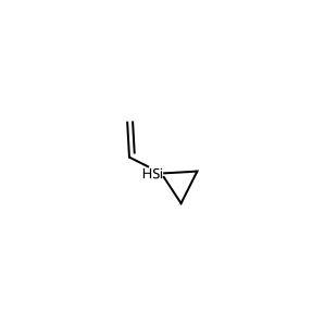 C=C[SiH]1CC1